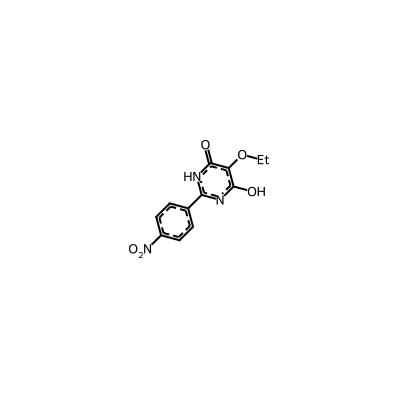 CCOc1c(O)nc(-c2ccc([N+](=O)[O-])cc2)[nH]c1=O